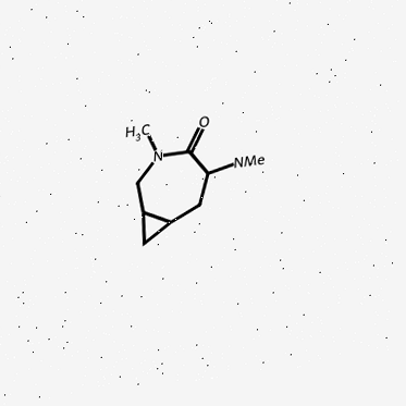 CNC1CC2CC2CN(C)C1=O